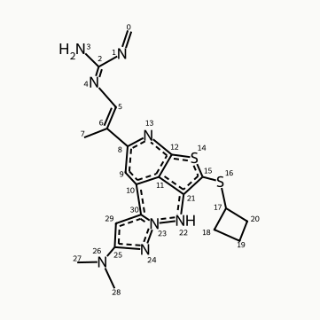 C=N/C(N)=N\C=C(/C)c1cc2c3c(n1)sc(SC1CCC1)c3[nH]n1nc(N(C)C)cc21